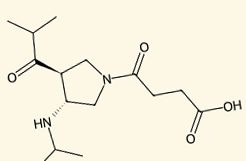 CC(C)N[C@H]1CN(C(=O)CCC(=O)O)C[C@@H]1C(=O)C(C)C